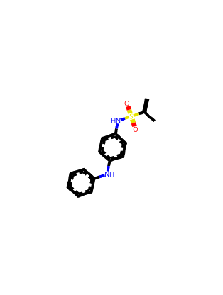 C=C(C)S(=O)(=O)Nc1ccc(Nc2ccccc2)cc1